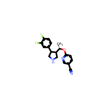 C[C@H](Oc1ccc(C#N)cn1)C1CNCC1c1ccc(F)c(F)c1